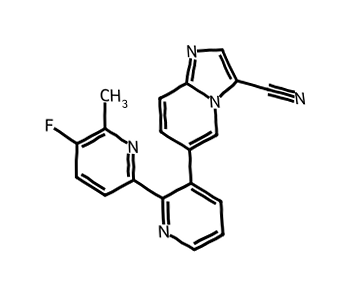 Cc1nc(-c2ncccc2-c2ccc3ncc(C#N)n3c2)ccc1F